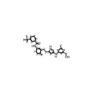 Cc1nc(CO)cc(Nc2cc(CCc3cc(NC(=O)c4cccc(C(F)(F)F)c4)ccc3F)[nH]n2)n1